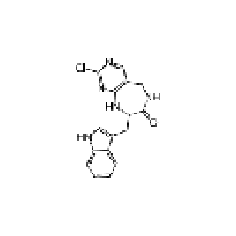 O=C1NCc2cnc(Cl)nc2NC1Cc1c[nH]c2ccccc12